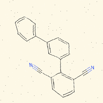 N#Cc1cccc(C#N)c1-c1cccc(-c2ccccc2)c1